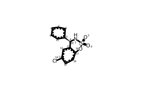 O=S1(=O)N[C@H](c2ccccc2)c2cc(Cl)ccc2O1